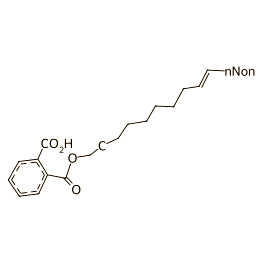 CCCCCCCCCC=CCCCCCCCCOC(=O)c1ccccc1C(=O)O